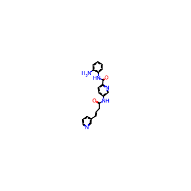 Nc1ccccc1NC(=O)c1ccc(NC(=O)C/C=C/c2cccnc2)cn1